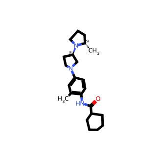 Cc1cc(N2CC[C@@H](N3CCC[C@@H]3C)C2)ccc1NC(=O)C1CCCCC1